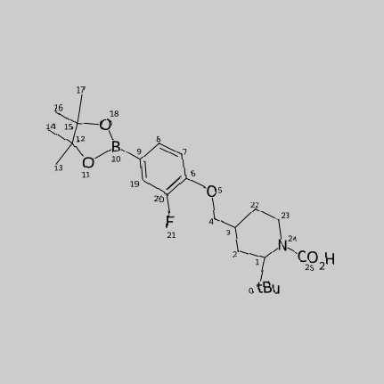 CC(C)(C)C1CC(COc2ccc(B3OC(C)(C)C(C)(C)O3)cc2F)CCN1C(=O)O